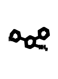 Nc1ccc(-c2cccnc2)cc1-c1ccccc1